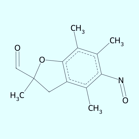 Cc1c(C)c2c(c(C)c1N=O)CC(C)(C=O)O2